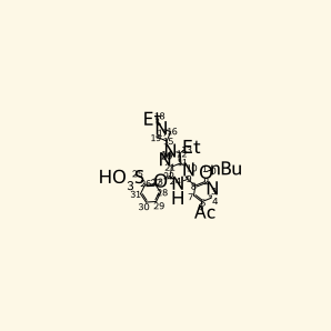 CCCCOc1ncc(C(C)=O)cc1-c1nc2c(CC)n(C3CN(CC)C3)nc2c(=O)[nH]1.O=S(=O)(O)c1ccccc1